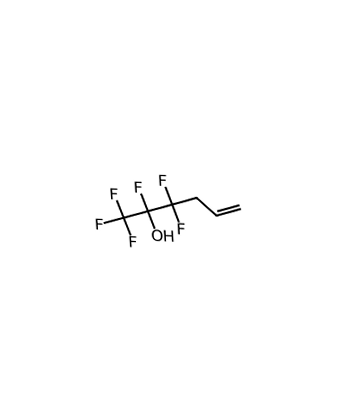 C=CCC(F)(F)C(O)(F)C(F)(F)F